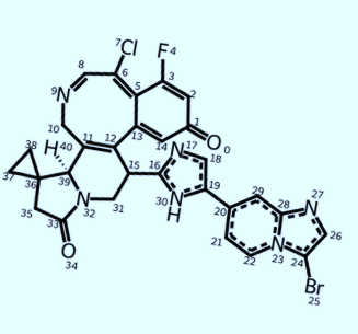 O=C1C=C(F)C2=C(Cl)C=NCC3=C(C2=C1)C(c1ncc(-c2ccn4c(Br)cnc4c2)[nH]1)CN1C(=O)CC2(CC2)[C@@H]31